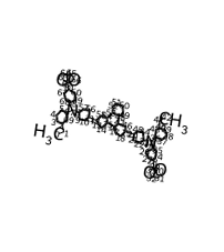 CCc1cccc(N(c2ccc(-c3ccc4c5ccc(-c6ccc(N(c7ccc(C8OCCO8)cc7)c7cccc(CC)c7)cc6)cc5c5ccccc5c4c3)cc2)c2ccc(C3OCCO3)cc2)c1